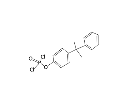 CC(C)(c1ccccc1)c1ccc(OP(=O)(Cl)Cl)cc1